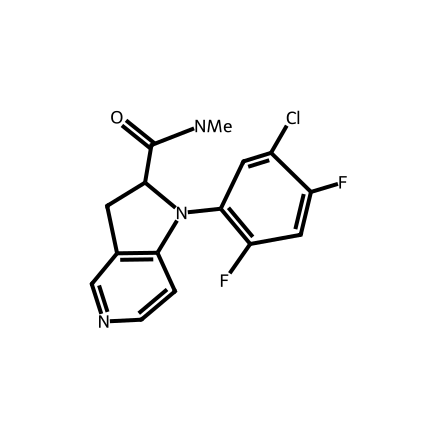 CNC(=O)C1Cc2cnccc2N1c1cc(Cl)c(F)cc1F